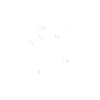 Cc1ccccc1/C=N/N(C)c1nc(-c2ccccc2Cl)c(C)s1